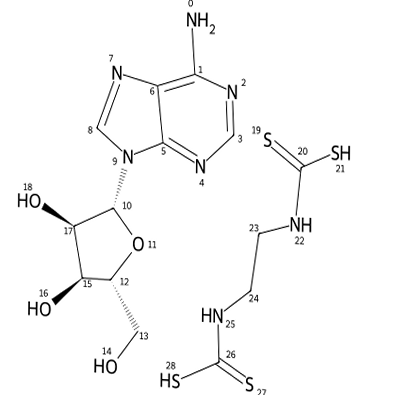 Nc1ncnc2c1ncn2[C@@H]1O[C@H](CO)[C@@H](O)[C@H]1O.S=C(S)NCCNC(=S)S